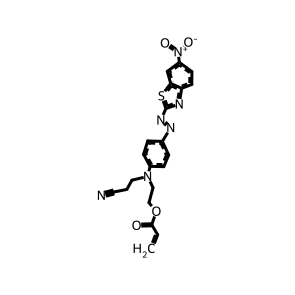 C=CC(=O)OCCN(CCC#N)c1ccc(/N=N/c2nc3ccc([N+](=O)[O-])cc3s2)cc1